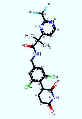 CC(C)(C(=O)NCc1cc(Cl)c(C2CCC(=O)NC2=O)c(Cl)c1)c1ccnc(C(F)F)n1